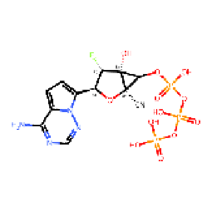 N#C[C@]12O[C@@H](c3ccc4c(N)ncnn34)[C@H](F)[C@@]1(O)C2OP(=O)(O)OP(=O)(O)OP(=O)(O)O